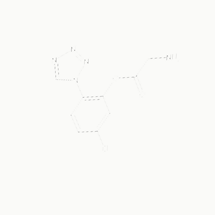 NCC(=O)Oc1cc(Cl)ccc1-n1cnnn1